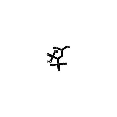 CCCCN(CCCC)CC(P(=O)(O)O)P(=O)(O)O